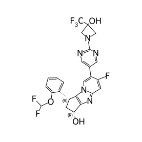 O[C@@H]1C[C@H](c2ccccc2OC(F)F)c2c1nc1cc(F)c(-c3cnc(N4CC(O)(C(F)(F)F)C4)nc3)cn21